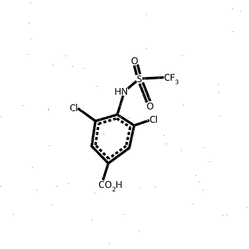 O=C(O)c1cc(Cl)c(NS(=O)(=O)C(F)(F)F)c(Cl)c1